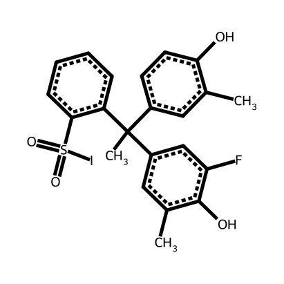 Cc1cc(C(C)(c2cc(C)c(O)c(F)c2)c2ccccc2S(=O)(=O)I)ccc1O